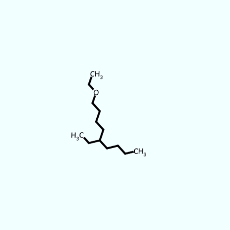 CCCCC(CC)CCCCOCC